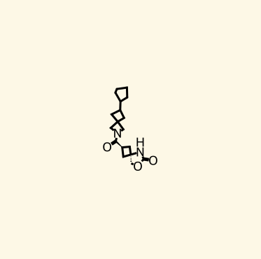 O=C1N[C@]2(CO1)C[C@H](C(=O)N1CC3(CC(C4CCCC4)C3)C1)C2